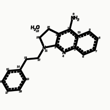 Nc1c2c(nc3ccccc13)N(CCc1ccccc1)CC2.O